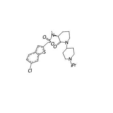 CC(C)N1CCC(N2CCC[C@H](N(C)S(=O)(=O)c3cc4ccc(Cl)cc4s3)C2=O)CC1